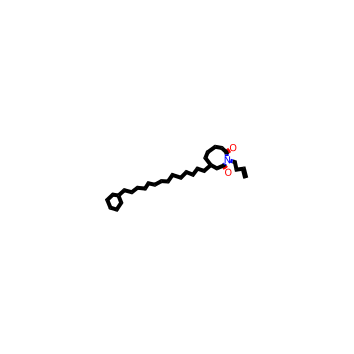 C=CCCN1C(=O)CCCCC(CCCCCCCCCCCCCCC2CCCCC2)CC1=O